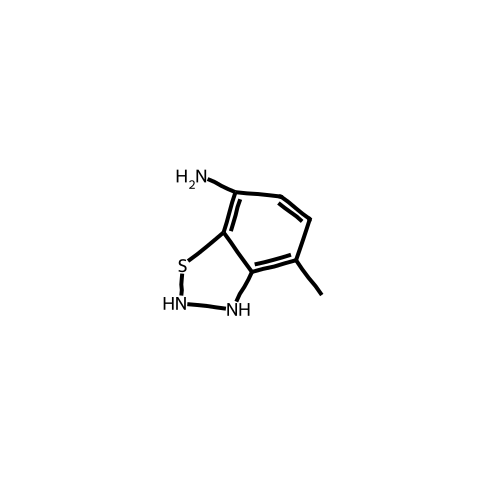 Cc1ccc(N)c2c1NNS2